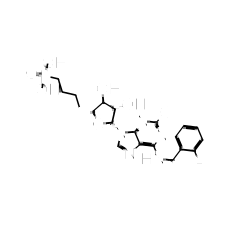 C[C@H](Nc1nc(Cl)nc2c1ncn2[C@@H]1O[C@H](CCCCP(=O)(O)O)C(O)[C@@H]1O)c1ccccc1F